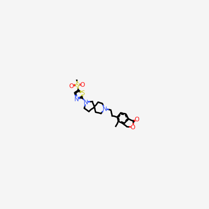 Cc1c(CCN2CCC3(CC2)CCN(c2ncc(S(C)(=O)=O)s2)C3)ccc2c1COC2=O